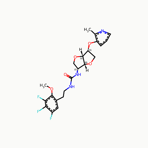 COc1c(CCNC(=O)N[C@H]2CO[C@H]3[C@@H]2OC[C@@H]3Oc2cccnc2C)cc(F)c(F)c1F